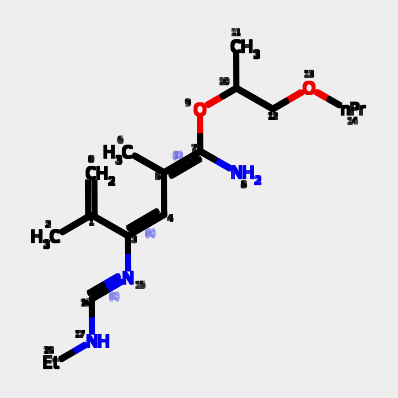 C=C(C)C(=C\C(C)=C(/N)OC(C)COCCC)/N=C/NCC